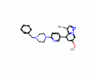 CCOc1cc(-c2ccc(N3CCN(Cc4ccccc4)CC3)nc2)c2c(C#N)cnn2c1